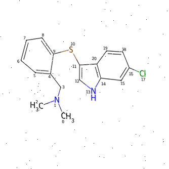 CN(C)Cc1ccccc1Sc1c[nH]c2cc(Cl)ccc12